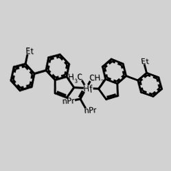 CCC[C](CCC)=[Hf]([CH3])([CH3])([CH]1C=Cc2c(-c3ccccc3CC)cccc21)[CH]1C=Cc2c(-c3ccccc3CC)cccc21